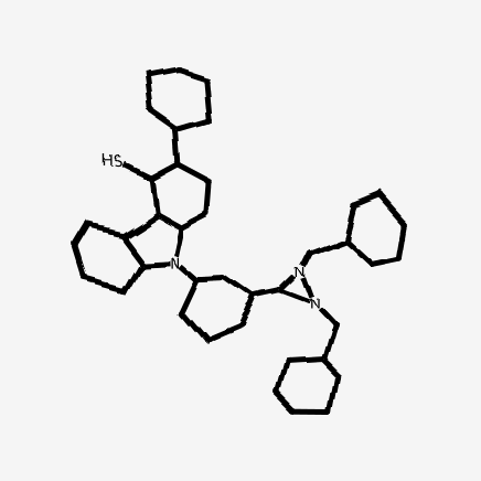 SC1C(C2CCCCC2)CCC2C1C1CCCCC1N2C1CCCC(C2N(CC3CCCCC3)N2CC2CCCCC2)C1